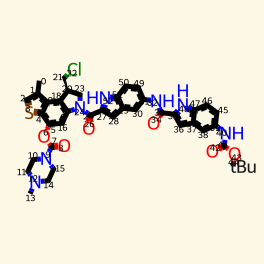 Cc1csc2c(OC(=O)N3CCN(C)CC3)cc3c(c12)[C@@H](CCl)CN3C(=O)c1cc2cc(NC(=O)c3cc4cc(NC(=O)OC(C)(C)C)ccc4[nH]3)ccc2[nH]1